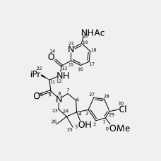 COc1cc(C2(O)CCN(C(=O)[C@H](NC(=O)c3cccc(NC(C)=O)n3)C(C)C)CC2(C)C)ccc1Cl